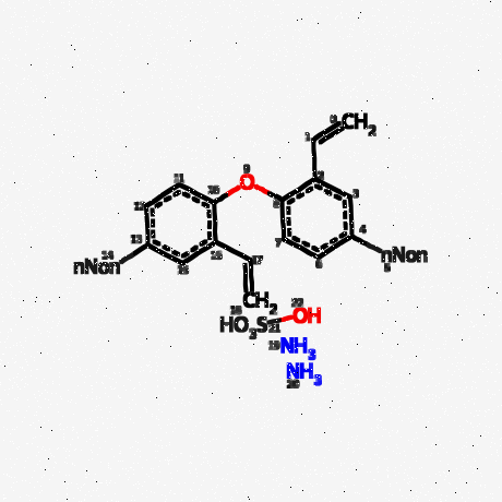 C=Cc1cc(CCCCCCCCC)ccc1Oc1ccc(CCCCCCCCC)cc1C=C.N.N.O=S(=O)(O)O